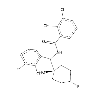 O=C(NC(c1cccc(F)c1Cl)[C@]1(O)CC[C@H](F)CC1)c1cccc(Cl)c1Cl